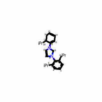 CC(C)c1cccc(C(C)C)c1N1C=CN(C2=CC=CCC2C(C)C)C1